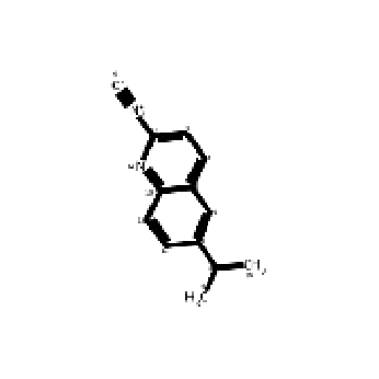 [C-]#[N+]c1ccc2cc(C(C)C)ccc2n1